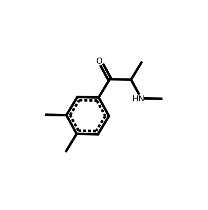 CNC(C)C(=O)c1ccc(C)c(C)c1